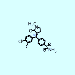 CN1CC/C(=C(\c2ccc(S(N)(=O)=O)cc2)c2ccc(Cl)c(Cl)c2)C1=O